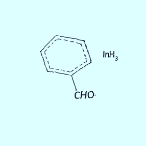 O=[C]c1ccccc1.[InH3]